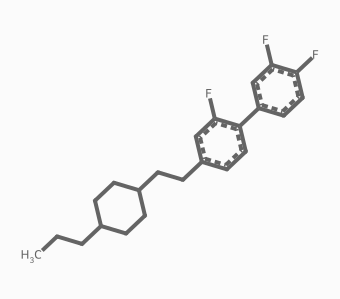 CCCC1CCC(CCc2ccc(-c3ccc(F)c(F)c3)c(F)c2)CC1